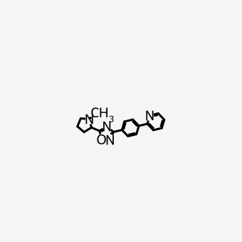 CN1CCCC1c1nc(-c2ccc(-c3ccccn3)cc2)no1